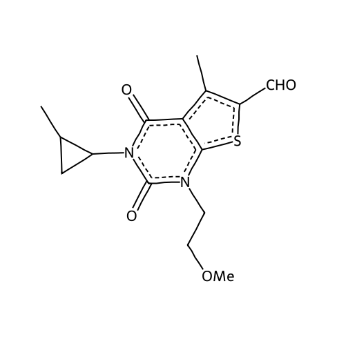 COCCn1c(=O)n(C2CC2C)c(=O)c2c(C)c(C=O)sc21